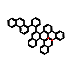 c1ccc(-c2cccc3c2ccc2ccccc23)c(-c2cc3ccccc3c(-c3cccc4ccccc34)c2-c2cccc3c2ccc2ccccc23)c1